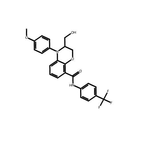 COc1ccc(N2c3cccc(C(=O)Nc4ccc(C(F)(F)F)cc4)c3OCC2CO)cc1